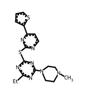 CCc1nc(Sc2nccc(-c3cccs3)n2)nc(N2CCN(C)CC2)n1